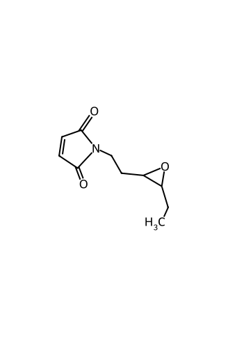 CCC1OC1CCN1C(=O)C=CC1=O